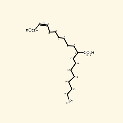 CCCCCCCC/C=C\CCCCCCC(CCCCCCCC(C)C)C(=O)O